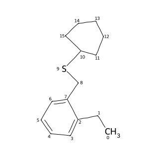 CCc1ccccc1CSC1CCCCC1